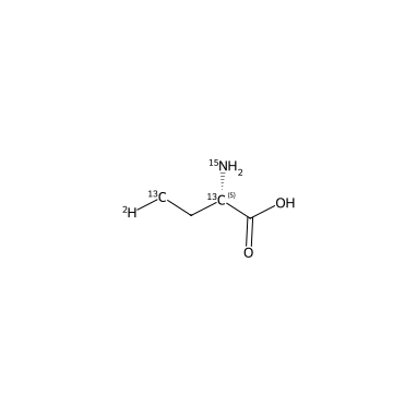 [2H][13CH2]C[13C@H]([15NH2])C(=O)O